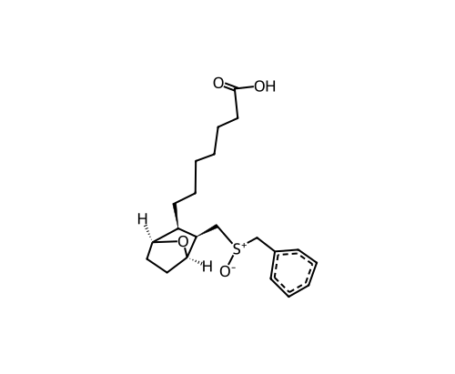 O=C(O)CCCCCC[C@H]1[C@@H](C[S+]([O-])Cc2ccccc2)[C@H]2CC[C@@H]1O2